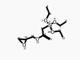 C=C(C[Si](OCC)(OCC)OCC)OCC1CO1